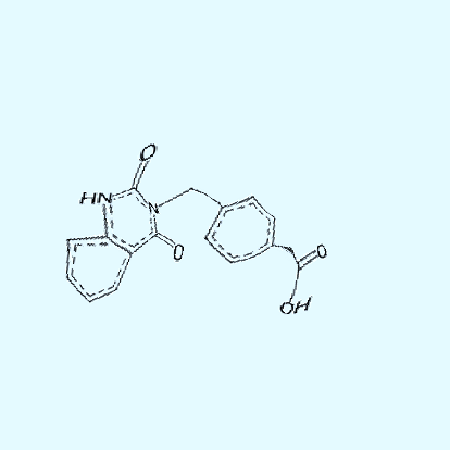 O=C(O)c1ccc(Cn2c(=O)[nH]c3ccccc3c2=O)cc1